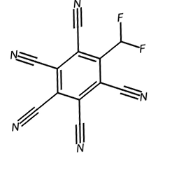 N#Cc1c(C#N)c(C#N)c(C(F)F)c(C#N)c1C#N